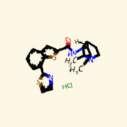 CC1(C)[C@H](NC(=O)c2cc3cccc(-c4nccs4)c3s2)C2CCN1CC2.Cl